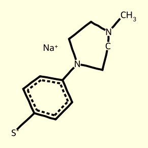 CN1CCN(c2ccc([S-])cc2)CC1.[Na+]